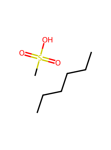 CCCCCC.CS(=O)(=O)O